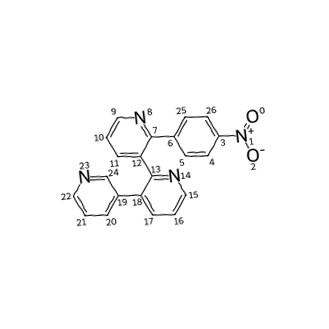 O=[N+]([O-])c1ccc(-c2ncccc2-c2ncccc2-c2cccnc2)cc1